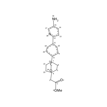 COC(=O)CC12CCC(c3ccc(-c4ccc(N)cn4)cc3)(CC1)CO2